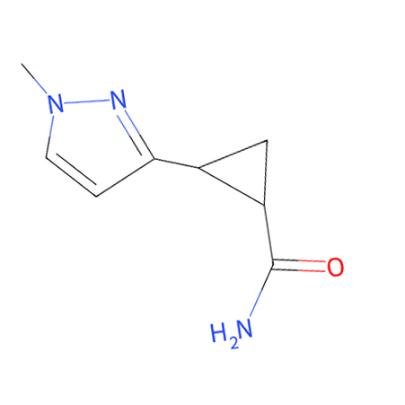 Cn1ccc(C2CC2C(N)=O)n1